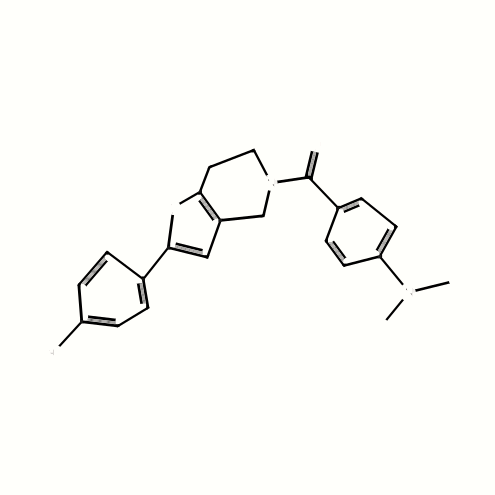 CN(C)c1ccc(C(=O)N2CCc3sc(-c4ccc(Br)cc4)cc3C2)cc1